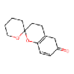 O=C1C=CC2=C(CCC3(CCCCO3)O2)C1